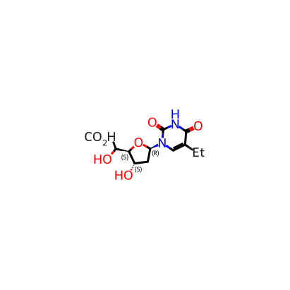 CCc1cn([C@H]2C[C@H](O)[C@@H](C(O)C(=O)O)O2)c(=O)[nH]c1=O